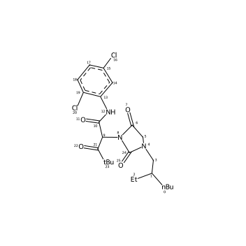 CCCCC(CC)CN1CC(=O)N(C(C(=O)Nc2cc(Cl)ccc2Cl)C(=O)C(C)(C)C)C1=O